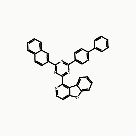 c1ccc(-c2ccc(-c3nc(-c4ccc5ccccc5c4)nc(-c4nccc5oc6ccccc6c45)n3)cc2)cc1